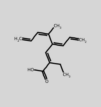 C=C\C=C(C)/C(=C\C=C)/C=C(\CC)C(=O)O